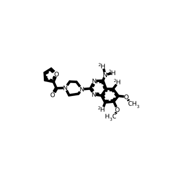 [2H]c1c(OC)c(OC)c([2H])c2c(N([2H])[2H])nc(N3CCN(C(=O)c4ccco4)CC3)nc12